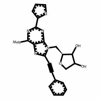 CNc1nc(-c2cccs2)nc2c1nc(C#Cc1ccccc1)n2C[C@@H]1OCC(O)C1O